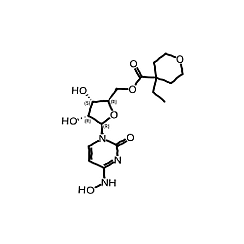 CCC1(C(=O)OC[C@H]2O[C@@H](n3ccc(NO)nc3=O)[C@H](O)[C@@H]2O)CCOCC1